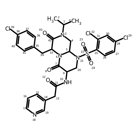 CC(C)N1CC2N(C(=O)C(NC(=O)Cc3cccnc3)CN2S(=O)(=O)c2ccc(Cl)cc2Cl)C(Cc2ccc(Cl)cc2)C1=O